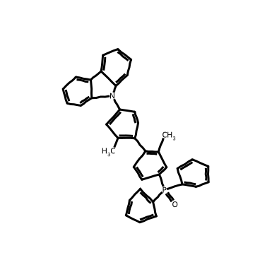 Cc1cc(-n2c3ccccc3c3ccccc32)ccc1-c1ccc(P(=O)(c2ccccc2)c2ccccc2)cc1C